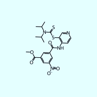 COC(=O)c1cc(C(=O)Nc2ccncc2SC(=S)N(C(C)C)C(C)C)cc([N+](=O)[O-])c1